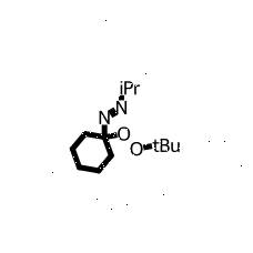 CC(C)N=NC1(OOC(C)(C)C)CCCCC1